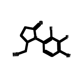 O=C1CCC(CO)N1c1ccc(Br)c(F)c1F